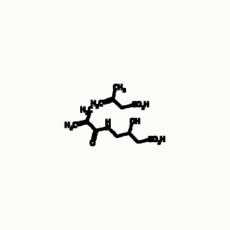 C=C(C)C(=O)NCC(O)CS(=O)(=O)O.C=C(C)CS(=O)(=O)O